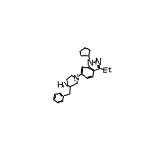 CCc1nn(C2CCCC2)c2cc(N3CCNC(Cc4ccccc4)C3)ccc12